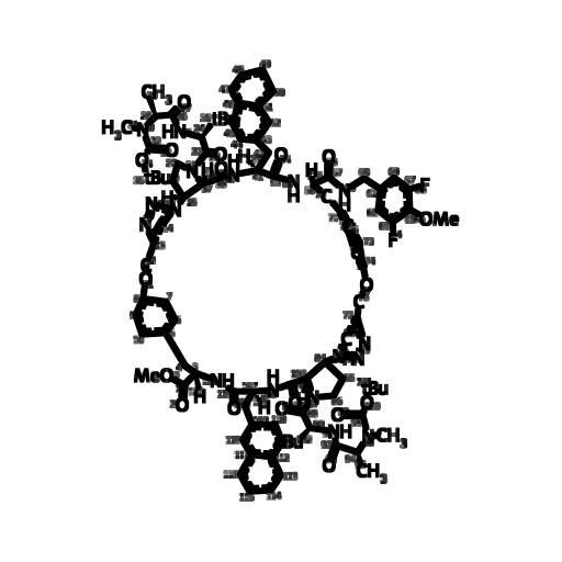 COC(=O)[C@@H]1Cc2ccc(cc2)OCc2cn(nn2)[C@@H]2CCN(C(=O)[C@@H](NC(=O)[C@H](C)N(C)C(=O)OC(C)(C)C)C(C)(C)C)[C@@H]2C(=O)N[C@@H](Cc2ccc3ccccc3c2)C(=O)N[C@H](C(=O)NCc2cc(F)c(OC)c(F)c2)Cc2ccc(cc2)OCc2cn(nn2)[C@@H]2CCN(C(=O)[C@@H](NC(=O)[C@H](C)N(C)C(=O)OC(C)(C)C)C(C)(C)C)[C@@H]2C(=O)N[C@@H](Cc2ccc3ccccc3c2)C(=O)N1